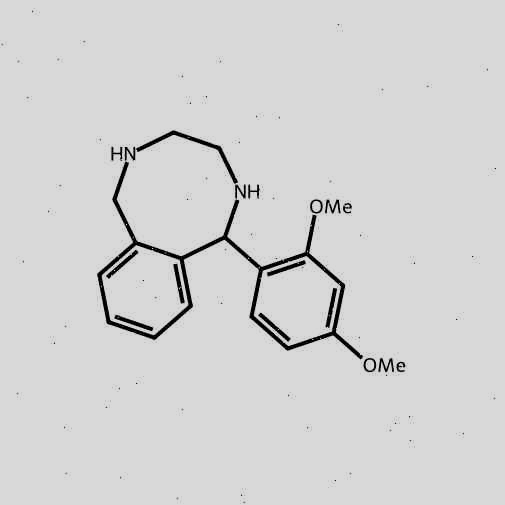 COc1ccc(C2NCCNCc3ccccc32)c(OC)c1